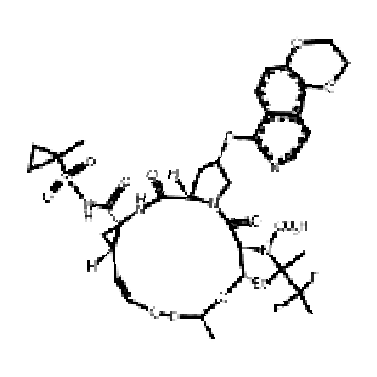 CC[C@@H]1C[C@@H](C)CC/C=C\[C@@H]2C[C@@]2(C(=O)NS(=O)(=O)C2(C)CC2)NC(=O)[C@@H]2C[C@@H](Oc3nccc4c5c(ccc34)OCCO5)CN2C(=O)[C@H]1N(C(=O)O)C(C)(C)C(C)(F)F